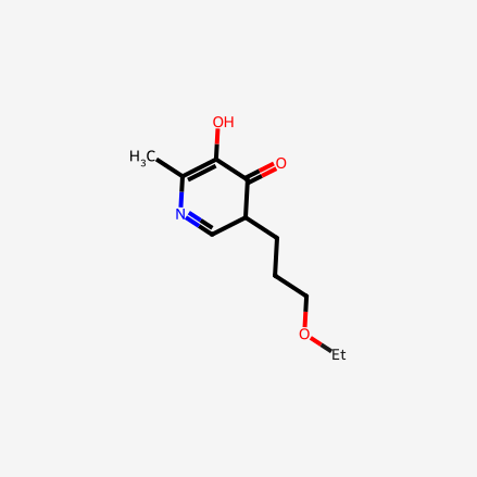 CCOCCCC1C=NC(C)=C(O)C1=O